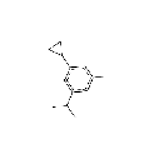 [CH2]c1cc(C(C)C)cc(C2CC2)c1